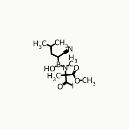 COC(=O)C(C)(C(=O)I)N(C)B(O)C(C#N)CC(C)C